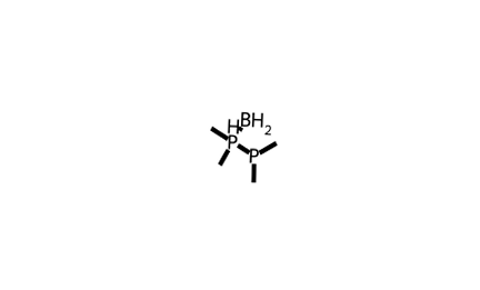 B[PH](C)(C)P(C)C